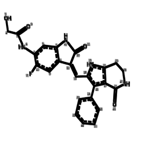 O=C(CO)Nc1cc2c(cc1F)C(=Cc1[nH]c3c(c1-c1ccccc1)C(=O)NCC3)C(=O)N2